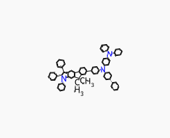 CC1(C)c2cc(-c3ccc(N(c4ccc(-c5ccccc5)cc4)c4ccc(N(c5ccccc5)c5ccccc5)cc4)cc3)ccc2-c2cc3c(-c4ccccc4)c(-c4ccccc4)n(-c4ccccc4)c3cc21